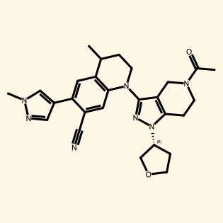 CC(=O)N1CCc2c(c(N3CCC(C)c4cc(-c5cnn(C)c5)c(C#N)cc43)nn2[C@@H]2CCOC2)C1